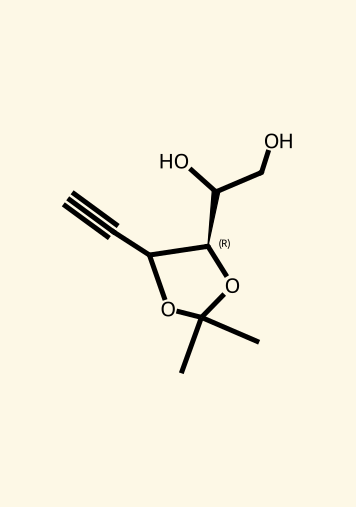 C#CC1OC(C)(C)O[C@@H]1C(O)CO